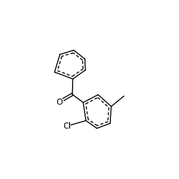 Cc1ccc(Cl)c(C(=O)c2ccccc2)c1